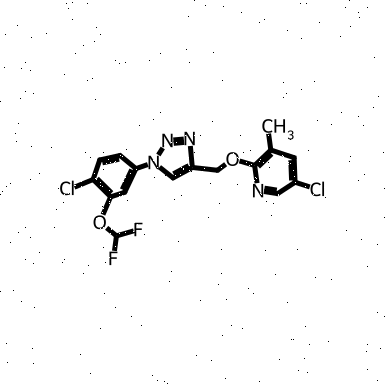 Cc1cc(Cl)cnc1OCc1cn(-c2ccc(Cl)c(OC(F)F)c2)nn1